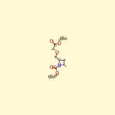 CC(C)(C)OC(=O)COCC1CCN1C(=O)OC(C)(C)C